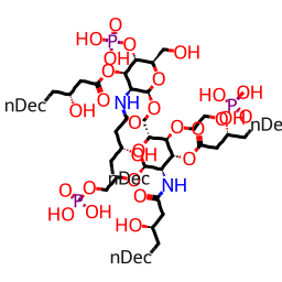 CCCCCCCCCCC[C@@H](O)CC(=O)N[C@@H]1[C@@H](OCCOP(=O)(O)O)O[C@H](CO[C@@H]2O[C@H](CO)[C@@H](OP(=O)(O)O)[C@H](OC(=O)C[C@H](O)CCCCCCCCCCC)[C@@H]2NC(=O)C[C@H](O)CCCCCCCCCCC)[C@@H](OCCOP(=O)(O)O)[C@@H]1OC(=O)C[C@H](O)CCCCCCCCCCC